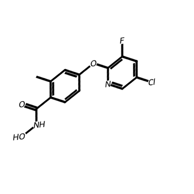 Cc1cc(Oc2ncc(Cl)cc2F)ccc1C(=O)NO